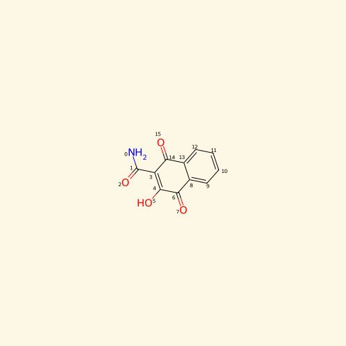 NC(=O)C1=C(O)C(=O)c2ccccc2C1=O